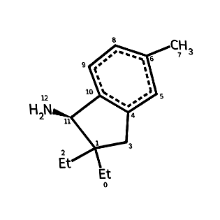 CCC1(CC)Cc2cc(C)ccc2[C@@H]1N